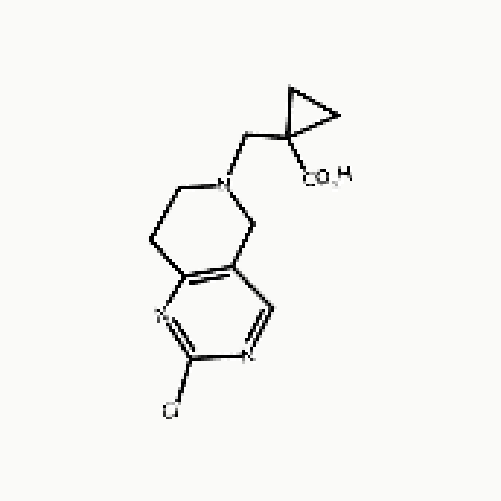 O=C(O)C1(CN2CCc3nc(Cl)ncc3C2)CC1